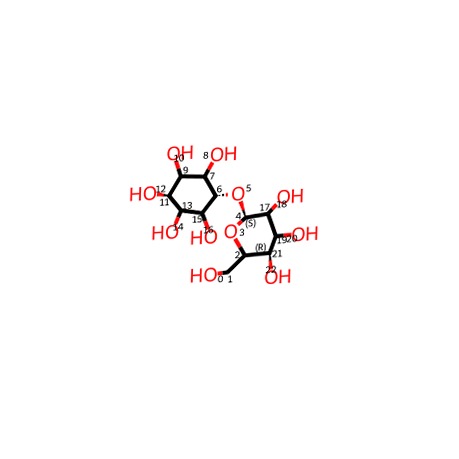 OCC1O[C@@H](O[C@H]2C(O)C(O)[C@H](O)C(O)C2O)C(O)C(O)[C@H]1O